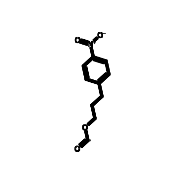 O=[C]OCCCc1ccc([N+](=O)[O-])cc1